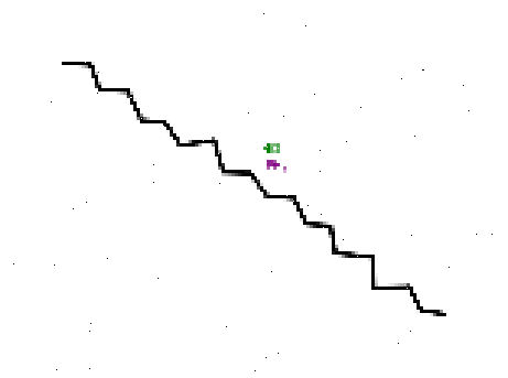 CCCCCCCCCCCCCCCCCCCC.Cl.P